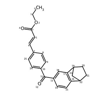 CCOC(=O)C=Cc1ccc(C(=O)c2ccc3c(c2)C2CCC3C2)cc1